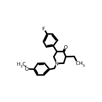 CCC1CN(Cc2ccc(OC)cc2)CC(c2ccc(F)cc2)C1=O